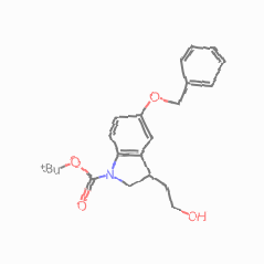 CC(C)(C)OC(=O)N1CC(CCO)c2cc(OCc3ccccc3)ccc21